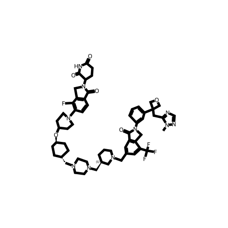 Cn1ncnc1CC1(c2cccc(N3Cc4c(cc(CN5CCC[C@H](CN6CCN(C[C@H]7CC[C@H](OC8CCN(c9ccc%10c(c9F)CN(C9CCC(=O)NC9=O)C%10=O)CC8)CC7)CC6)C5)cc4C(F)(F)F)C3=O)c2)COC1